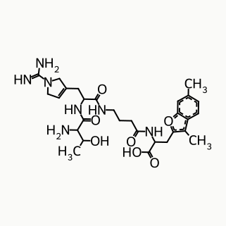 Cc1ccc2c(C)c(CC(NC(=O)CCCNC(=O)C(CC3=CCN(C(=N)N)C3)NC(=O)C(N)C(C)O)C(=O)O)oc2c1